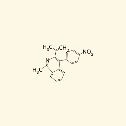 C=C(C)c1nc(C)c2ccccc2c1-c1ccc([N+](=O)[O-])cc1